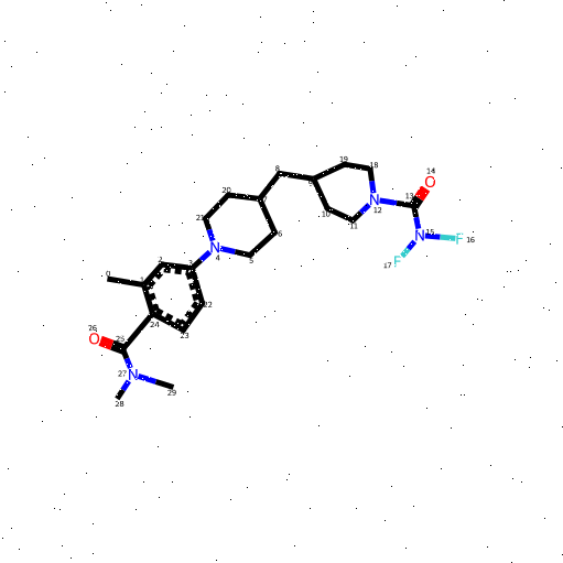 Cc1cc(N2CCC(CC3CCN(C(=O)N(F)F)CC3)CC2)ccc1C(=O)N(C)C